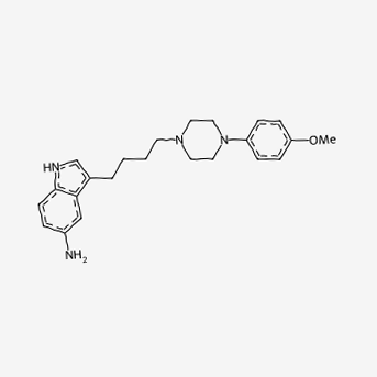 COc1ccc(N2CCN(CCCCc3c[nH]c4ccc(N)cc34)CC2)cc1